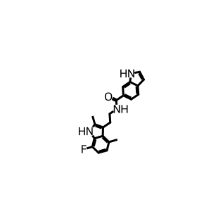 Cc1[nH]c2c(F)ccc(C)c2c1CCNC(=O)c1ccc2cc[nH]c2c1